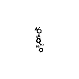 CN1CCN(c2nc3ccc(C(=O)NC4CCCC4)cc3s2)CC12CC2